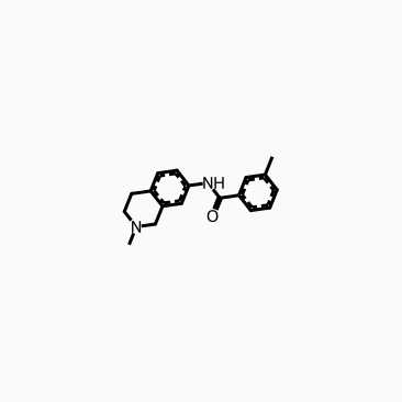 Cc1cccc(C(=O)Nc2ccc3c(c2)CN(C)CC3)c1